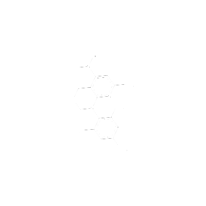 CCCN(CC)c1cc(C)nc2c1COCN2c1c(C)cc(C)cc1C